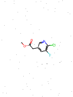 COC(=O)Cc1cnc(Cl)c(F)c1